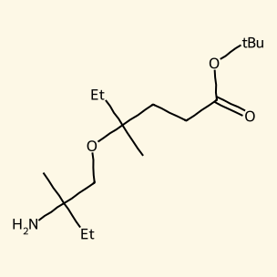 CCC(C)(N)COC(C)(CC)CCC(=O)OC(C)(C)C